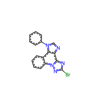 Brc1nc2c3ncn(-c4ccccc4)c3c3ccccc3n2n1